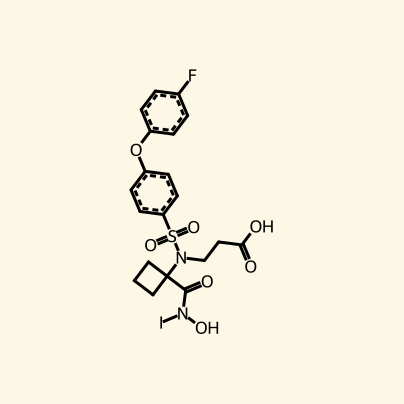 O=C(O)CCN(C1(C(=O)N(O)I)CCC1)S(=O)(=O)c1ccc(Oc2ccc(F)cc2)cc1